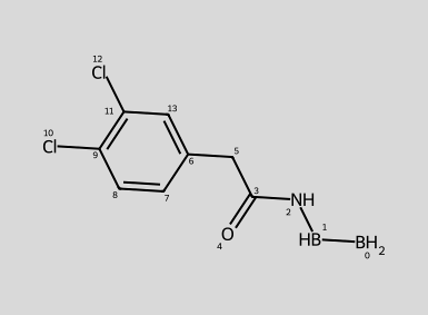 BBNC(=O)Cc1ccc(Cl)c(Cl)c1